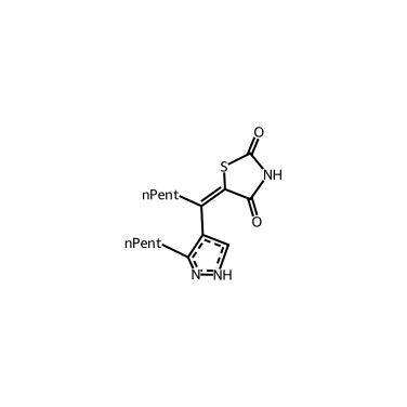 CCCCCC(=C1SC(=O)NC1=O)c1c[nH]nc1CCCCC